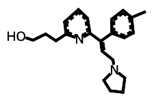 Cc1ccc(/C(=C\CN2CCCC2)c2cccc(CCCO)n2)cc1